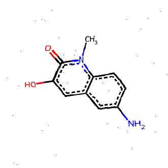 Cn1c(=O)c(O)cc2cc(N)ccc21